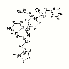 CN1CCC[C@H]1COc1nc2c(c(N3CCN(C(=O)OCc4ccccc4)C(CC#N)C3)n1)CCNC2